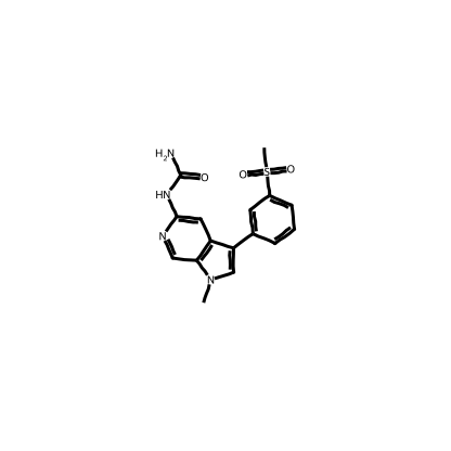 Cn1cc(-c2cccc(S(C)(=O)=O)c2)c2cc(NC(N)=O)ncc21